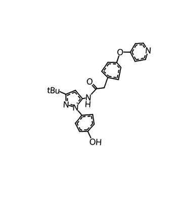 CC(C)(C)c1cc(NC(=O)Cc2ccc(Oc3ccncc3)cc2)n(-c2ccc(O)cc2)n1